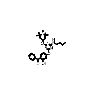 CCCCNc1nc(Oc2ccc(C(=O)c3ccccc3)c(O)c2)nc(OC2CC(C)(C)N(C)C(C)(C)C2)n1